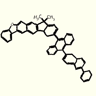 CC1(C)C2=CC=C(c3c4ccccc4c(C4=CC=C5C=C(C6=CC=CCC6)C=CC5C4)c4ccccc34)CC2c2cc3cc4c(cc3cc21)oc1ccccc14